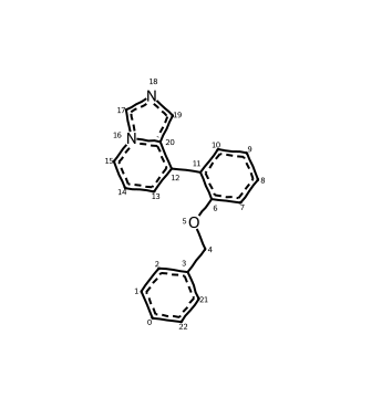 c1ccc(COc2ccccc2-c2cccn3cncc23)cc1